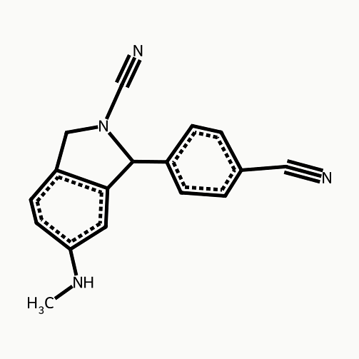 CNc1ccc2c(c1)C(c1ccc(C#N)cc1)N(C#N)C2